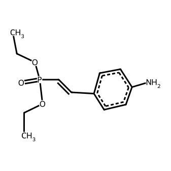 CCOP(=O)(C=Cc1ccc(N)cc1)OCC